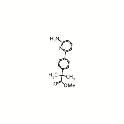 COC(=O)C(C)(C)c1ccc(-c2cccc(N)n2)cc1